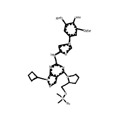 COc1cc(-n2cnc(Nc3nc(N4CCCC4CO[Si](C)(C)C(C)(C)C)c4cnn(C5CCC5)c4n3)c2)cc(OC)c1OC